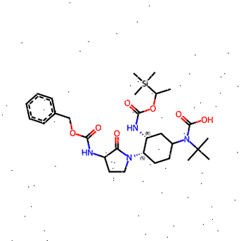 CC(OC(=O)N[C@@H]1CC(N(C(=O)O)C(C)(C)C)CC[C@@H]1N1CCC(NC(=O)OCc2ccccc2)C1=O)[Si](C)(C)C